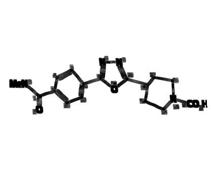 CNC(=O)c1ccc(-c2nnc(C3CCN(C(=O)O)CC3)o2)cc1